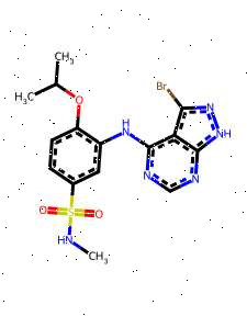 CNS(=O)(=O)c1ccc(OC(C)C)c(Nc2ncnc3[nH]nc(Br)c23)c1